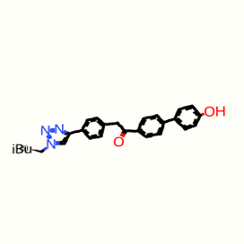 CC[C@H](C)Cn1cc(-c2ccc(CC(=O)c3ccc(-c4ccc(O)cc4)cc3)cc2)nn1